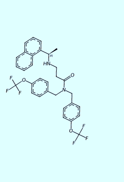 C[C@@H](NCCC(=O)N(Cc1ccc(OC(F)(F)F)cc1)Cc1ccc(OC(F)(F)F)cc1)c1cccc2ccccc12